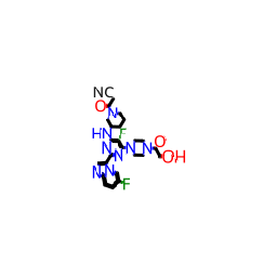 N#CCC(=O)N1CCC[C@@H](Nc2nc(-c3cnc4ccc(F)cn34)nc(N3CCN(C(=O)CO)CC3)c2F)C1